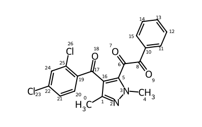 Cc1nn(C)c(C(=O)C(=O)c2ccccc2)c1C(=O)c1ccc(Cl)cc1Cl